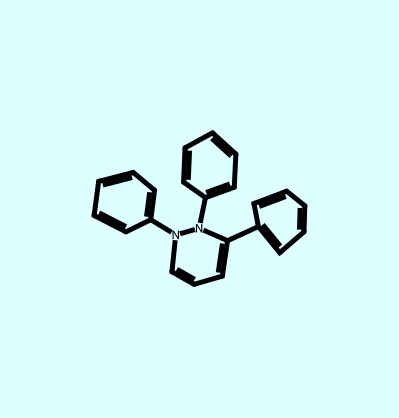 C1=CN(c2ccccc2)N(c2ccccc2)C(c2ccccc2)=C1